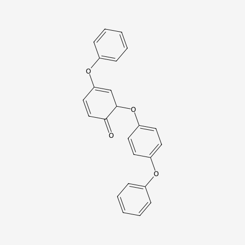 O=C1C=CC(Oc2ccccc2)=CC1Oc1ccc(Oc2ccccc2)cc1